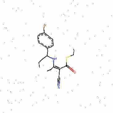 CCSC(=O)C(C#N)=C(C)NC(CC)c1ccc(Br)cc1